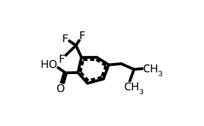 CC(C)Cc1ccc(C(=O)O)c(C(F)(F)F)c1